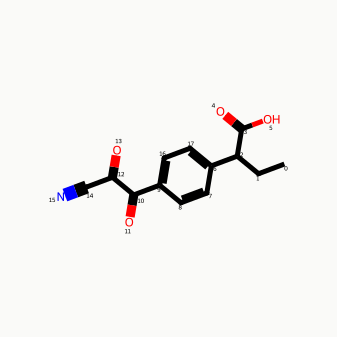 CCC(C(=O)O)c1ccc(C(=O)C(=O)C#N)cc1